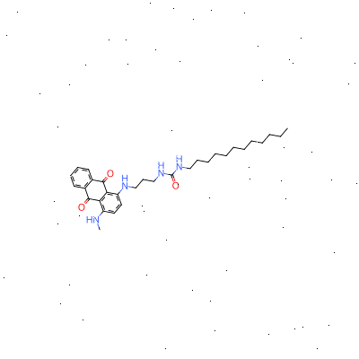 CCCCCCCCCCCCNC(=O)NCCCNc1ccc(NC)c2c1C(=O)c1ccccc1C2=O